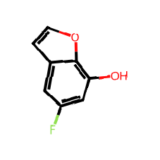 Oc1cc(F)cc2ccoc12